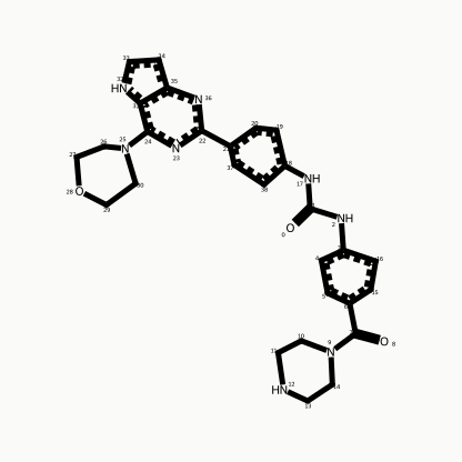 O=C(Nc1ccc(C(=O)N2CCNCC2)cc1)Nc1ccc(-c2nc(N3CCOCC3)c3[nH]ccc3n2)cc1